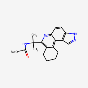 COC(=O)NC(C)(C)c1nc2ccc3[nH]ncc3c2c2c1CCCC2